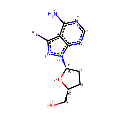 Nc1ncnc2c1c(I)nn2[C@H]1CC[C@@H](CO)O1